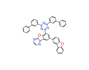 c1ccc(-c2cccc(-c3nc(-c4cccc(-c5ccccc5)c4)nc(-c4cc(-c5ccc6oc7ccccc7c6c5)cc5c4oc4nccnc45)n3)c2)cc1